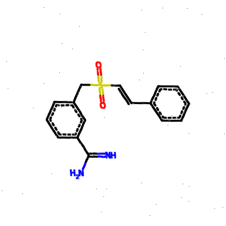 N=C(N)c1cccc(CS(=O)(=O)C=Cc2ccccc2)c1